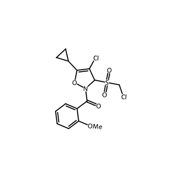 COc1ccccc1C(=O)N1OC(C2CC2)=C(Cl)C1S(=O)(=O)CCl